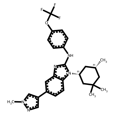 C[C@H]1C[C@@H](n2c(Nc3ccc(OC(F)(F)F)cc3)nc3cc(-c4cnn(C)c4)ccc32)CC(C)(C)C1